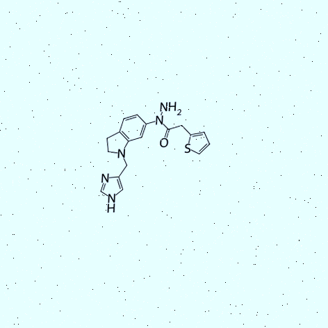 NN(C(=O)Cc1cccs1)c1ccc2c(c1)N(Cc1c[nH]cn1)CC2